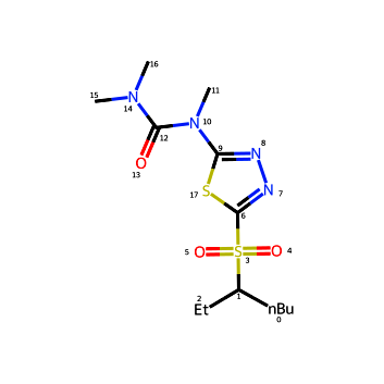 CCCCC(CC)S(=O)(=O)c1nnc(N(C)C(=O)N(C)C)s1